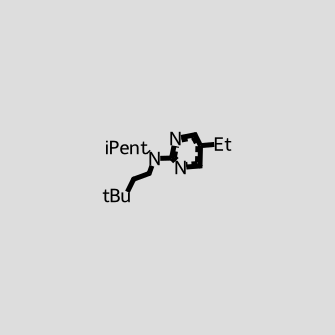 CCCC(C)N(CCC(C)(C)C)c1ncc(CC)cn1